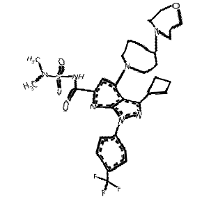 CN(C)S(=O)(=O)NC(=O)c1cc(N2CCC(N3CCOCC3)CC2)c2c(C3CCC3)nn(-c3ccc(C(F)(F)F)cc3)c2n1